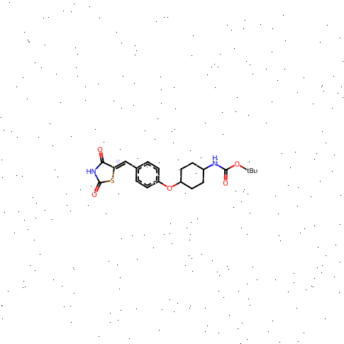 CC(C)(C)OC(=O)NC1CCC(Oc2ccc(/C=C3\SC(=O)NC3=O)cc2)CC1